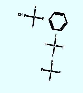 F[B-](F)(F)F.F[B-](F)(F)F.F[B-](F)(F)F.[KH].c1ccccc1